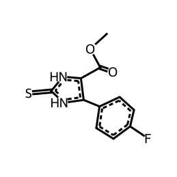 COC(=O)c1[nH]c(=S)[nH]c1-c1ccc(F)cc1